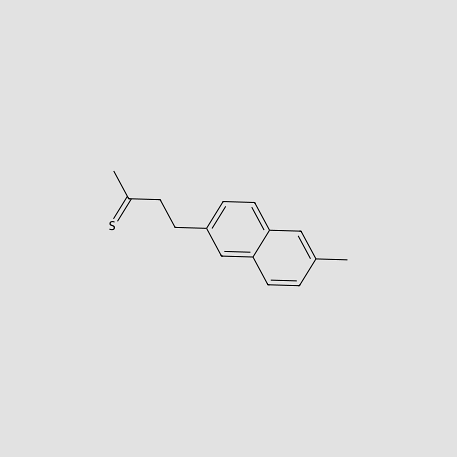 CC(=S)CCc1ccc2cc(C)ccc2c1